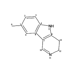 Cc1ccc2[nH]c3c(c2c1)C=NCC3